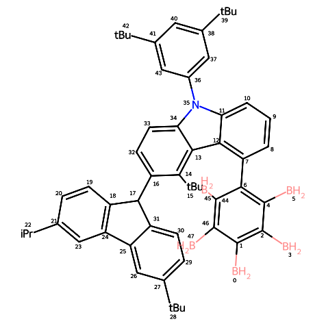 Bc1c(B)c(B)c(-c2cccc3c2c2c(C(C)(C)C)c(C4c5ccc(C(C)C)cc5-c5cc(C(C)(C)C)ccc54)ccc2n3-c2cc(C(C)(C)C)cc(C(C)(C)C)c2)c(B)c1B